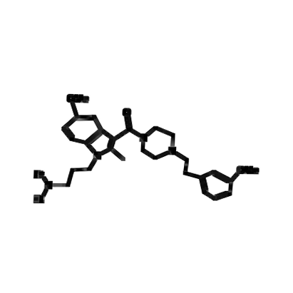 CCN(CC)CCCn1c(C)c(C(=O)N2CCN(CCc3cccc(OC)c3)CC2)c2cc(OC)ccc21